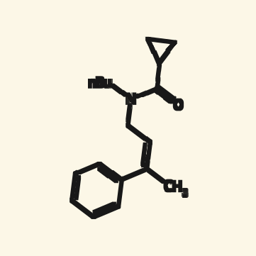 CCCCN(C/C=C(/C)c1ccccc1)C(=O)C1CC1